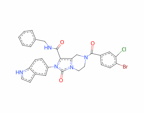 O=C(NCc1ccccc1)c1c2n(c(=O)n1-c1ccc3[nH]ccc3c1)CCN(C(=O)c1ccc(Br)c(Cl)c1)C2